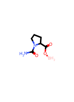 BOC(=O)C1CCCN1C(N)=O